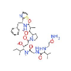 CCC(C)C(C(CC(=O)N1CCCC1C(OC)C(C)C(=O)NC(Cc1ccccc1)c1nccs1)OC)N(C)C(=O)CNC(=O)C(NCCON)C(C)C